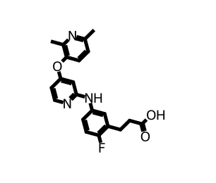 Cc1ccc(Oc2ccnc(Nc3ccc(F)c(CCC(=O)O)c3)c2)c(C)n1